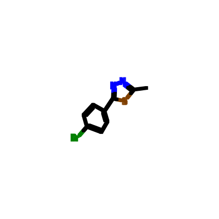 Cc1nnc(-c2ccc(Br)cc2)s1